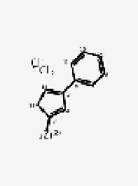 [Cl-].[Cl-].[Zr+2][C]1=CC(c2ccccc2)=CC1